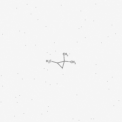 CC1[CH]C1(C)C